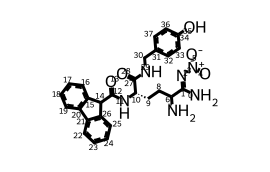 NC(=N[N+](=O)[O-])C(N)CC[C@H](NC(=O)C1c2ccccc2-c2ccccc21)C(=O)NCc1ccc(O)cc1